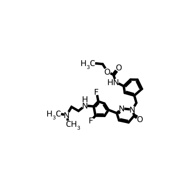 CCOC(=O)Nc1cccc(Cn2nc(-c3cc(F)c(NCCN(C)C)c(F)c3)ccc2=O)c1